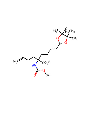 C=CCCC(CCCCB1OC(C)(C)C(C)(C)O1)(NC(=O)OC(C)(C)C)C(=O)O